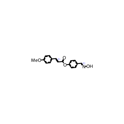 COc1ccc(/C=C/C(=O)Oc2ccc(/C=N/O)cc2)cc1